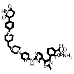 CCC(c1cccc(-c2nc(C)sc2-c2ccnc(Nc3ccc(N4CCN(CC5CCN(c6ccc(C7CCC(=O)NC7=O)cc6)CC5)CC4)cn3)n2)c1F)S(N)(=O)=O